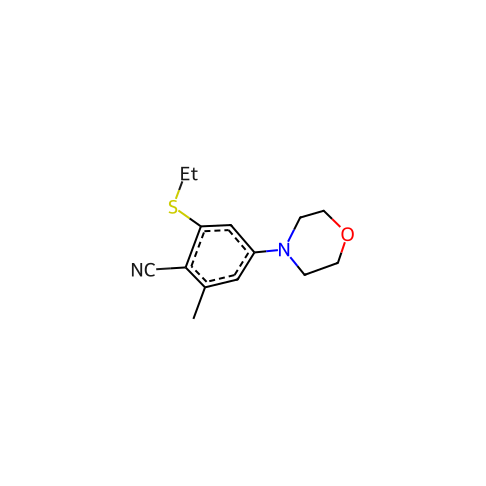 CCSc1cc(N2CCOCC2)cc(C)c1C#N